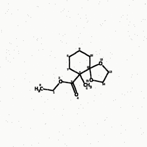 CCOC(=O)C1(C)CCCCC12OCCO2